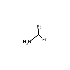 [CH2]CC(N)C[CH2]